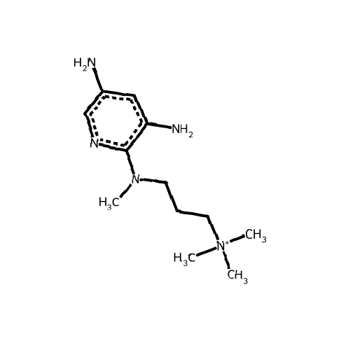 CN(CCC[N+](C)(C)C)c1ncc(N)cc1N